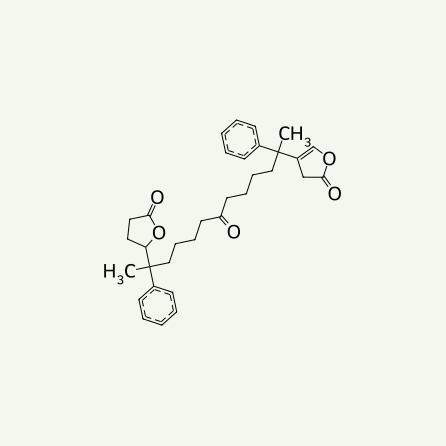 CC(CCCCC(=O)CCCCC(C)(c1ccccc1)C1CCC(=O)O1)(C1=COC(=O)C1)c1ccccc1